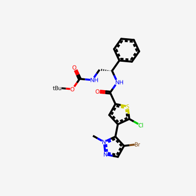 Cn1ncc(Br)c1-c1cc(C(=O)N[C@H](CNC(=O)OC(C)(C)C)c2ccccc2)sc1Cl